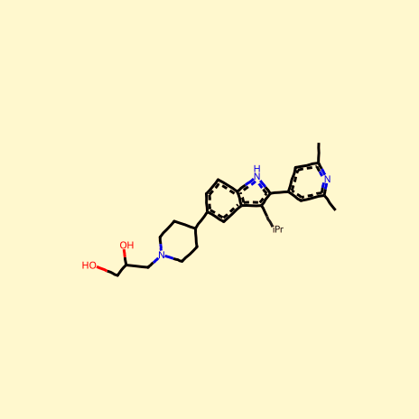 Cc1cc(-c2[nH]c3ccc(C4CCN(CC(O)CO)CC4)cc3c2C(C)C)cc(C)n1